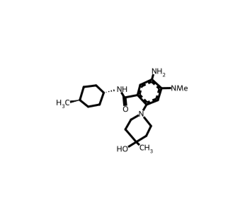 CNc1cc(N2CCC(C)(O)CC2)c(C(=O)N[C@H]2CC[C@H](C)CC2)cc1N